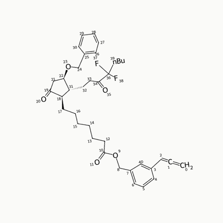 C=C=Cc1cccc(COC(=O)CCCCCC[C@H]2C(=O)C[C@@H](OCc3ccccc3)[C@@H]2CCC(=O)C(F)(F)CCCC)c1